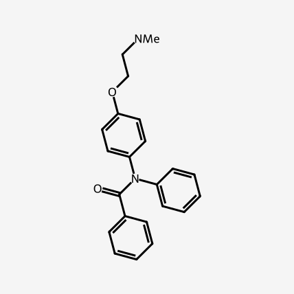 CNCCOc1ccc(N(C(=O)c2ccccc2)c2ccccc2)cc1